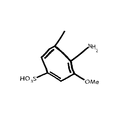 COc1cc(S(=O)(=O)O)cc(C)c1N